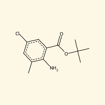 Cc1cc(Cl)cc(C(=O)OC(C)(C)C)c1N